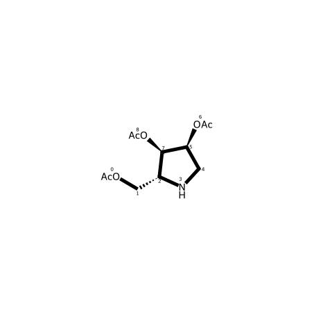 CC(=O)OC[C@H]1NC[C@H](OC(C)=O)[C@@H]1OC(C)=O